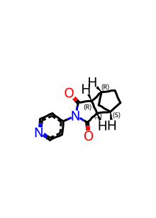 O=C1[C@@H]2[C@@H]3CC[C@@H](C3)[C@@H]2C(=O)N1c1ccncc1